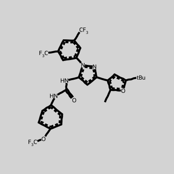 Cc1oc(C(C)(C)C)cc1-c1cc(NC(=O)Nc2ccc(OC(F)(F)F)cc2)n(-c2cc(C(F)(F)F)cc(C(F)(F)F)c2)n1